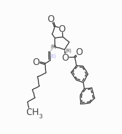 CCCCCCCC(=O)/C=C/[C@@H]1C2CC(=O)OC2C[C@H]1OC(=O)c1ccc(-c2ccccc2)cc1